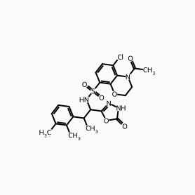 CC(=O)N1CCOc2c(S(=O)(=O)NC(c3n[nH]c(=O)o3)C(C)c3cccc(C)c3C)ccc(Cl)c21